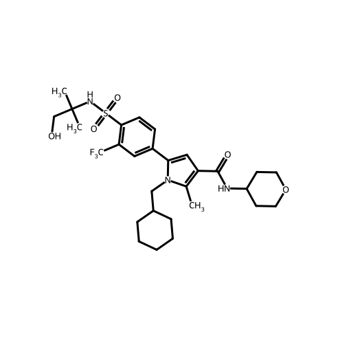 Cc1c(C(=O)NC2CCOCC2)cc(-c2ccc(S(=O)(=O)NC(C)(C)CO)c(C(F)(F)F)c2)n1CC1CCCCC1